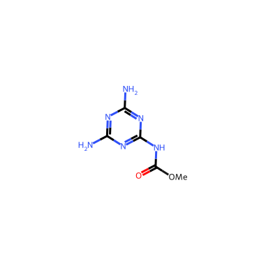 COC(=O)Nc1nc(N)nc(N)n1